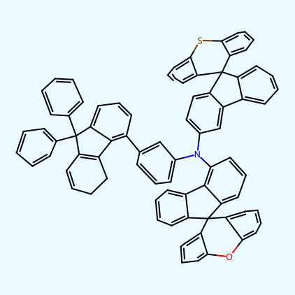 C1=CC2=C(CC1)c1c(-c3cccc(N(c4ccc5c(c4)-c4ccccc4C54c5ccccc5Sc5ccccc54)c4cccc5c4-c4ccccc4C54c5ccccc5Oc5ccccc54)c3)cccc1C2(c1ccccc1)c1ccccc1